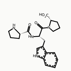 O=C(N[C@@H](Cc1c[nH]c2ccccc12)C(=O)N1CCC[C@H]1C(=O)O)[C@@H]1CCCN1